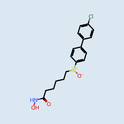 O=C(CCCCC[S+]([O-])c1ccc(-c2ccc(Cl)cc2)cc1)NO